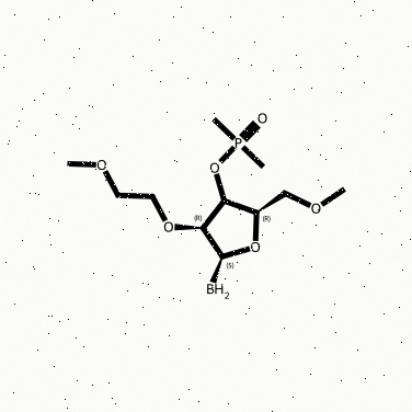 B[C@@H]1O[C@H](COC)C(OP(C)(C)=O)[C@@H]1OCCOC